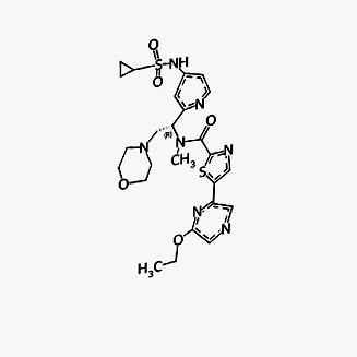 CCOc1cncc(-c2cnc(C(=O)N(C)[C@H](CN3CCOCC3)c3cc(NS(=O)(=O)C4CC4)ccn3)s2)n1